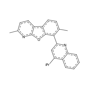 Cc1ccc2c(n1)oc1c(-c3cc(C(C)C)c4ccccc4n3)c(C)ccc12